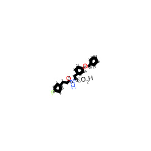 O=C(CCc1ccc(F)cc1)NC(Cc1ccc(OCc2ccccc2)cc1)C(=O)O